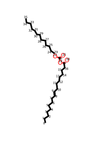 CCCCCCCCC=CCCCCCCCC(=O)OC(=O)OCCCCCCCCCCCCC